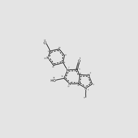 Cn1cnc2c(=O)n(-c3ccc(Cl)nc3)c(O)nc21